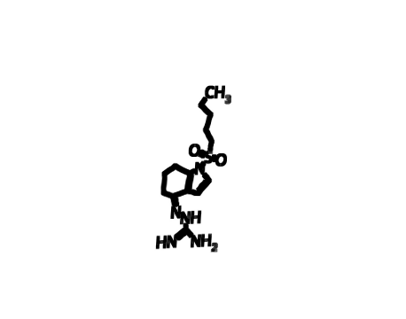 CCCCCS(=O)(=O)n1ccc2c1CCC/C2=N/NC(=N)N